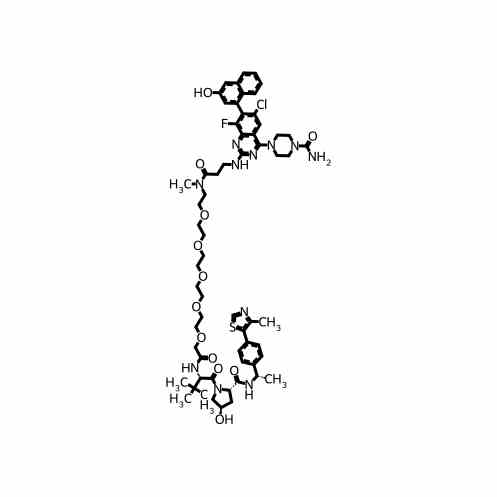 Cc1ncsc1-c1ccc([C@H](C)NC(=O)[C@@H]2C[C@@H](O)CN2C(=O)[C@@H](NC(=O)COCCOCCOCCOCCOCCN(C)C(=O)CCNc2nc(N3CCN(C(N)=O)CC3)c3cc(Cl)c(-c4cc(O)cc5ccccc45)c(F)c3n2)C(C)(C)C)cc1